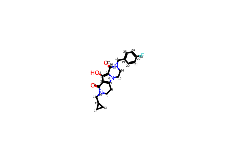 O=C1c2c(O)c3n(c2CCN1CC1CC1)CCN(Cc1ccc(F)cc1)C3=O